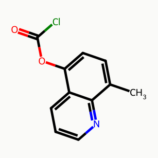 Cc1ccc(OC(=O)Cl)c2cccnc12